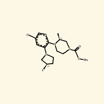 C[C@H]1CN(C(=O)OC(C)(C)C)CCN1c1ncc(Cl)cc1N1CC[C@@H](F)C1